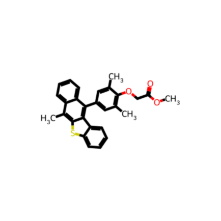 COC(=O)COc1c(C)cc(-c2c3ccccc3c(C)c3sc4ccccc4c23)cc1C